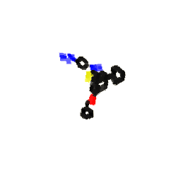 N[C@H]1CC[C@H](NC(=S)C23CC4CC(c5ccccc5)(CC(C2)C4OCc2ccccc2)C3)CC1